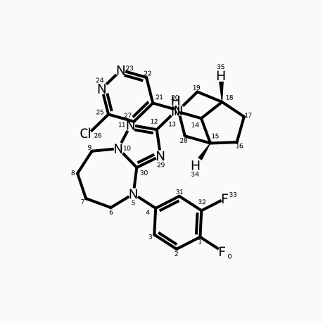 Fc1ccc(N2CCCCn3nc(NC4[C@@H]5CC[C@H]4CN(c4cnnc(Cl)c4)C5)nc32)cc1F